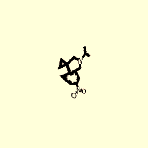 CC(C)N1Cc2cc([N+](=O)[O-])ccc2C2(CC2)C1